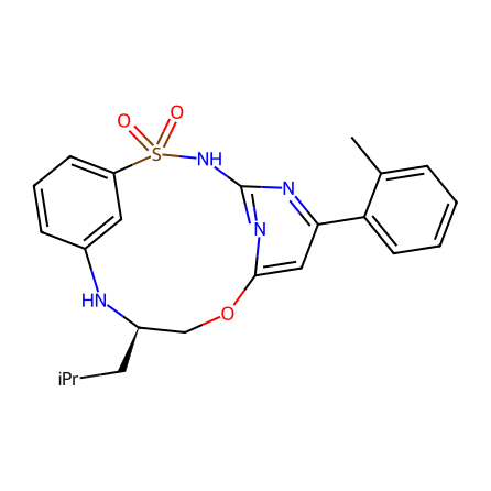 Cc1ccccc1-c1cc2nc(n1)NS(=O)(=O)c1cccc(c1)N[C@H](CC(C)C)CO2